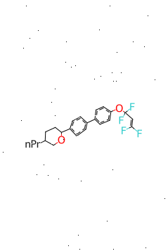 CCCC1CCC(c2ccc(-c3ccc(OC(F)(F)C=C(F)F)cc3)cc2)OC1